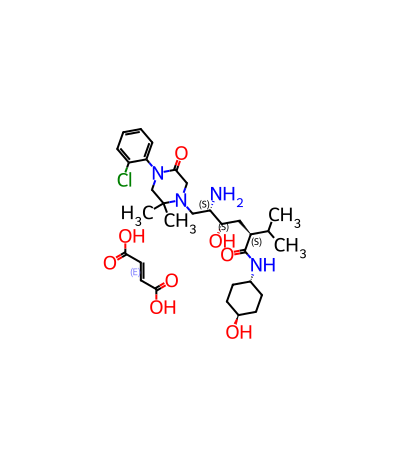 CC(C)[C@H](C[C@H](O)[C@@H](N)CN1CC(=O)N(c2ccccc2Cl)CC1(C)C)C(=O)N[C@H]1CC[C@H](O)CC1.O=C(O)/C=C/C(=O)O